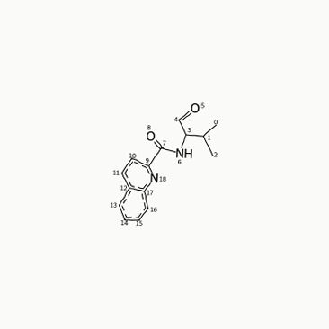 CC(C)C(C=O)NC(=O)c1ccc2ccccc2n1